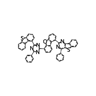 c1ccc(-c2nc(-c3cccc4c3oc3cccc(-c5nc(-c6ccccc6)c6sc7ccccc7c6n5)c34)nc(-c3cccc4sc5ccccc5c34)n2)cc1